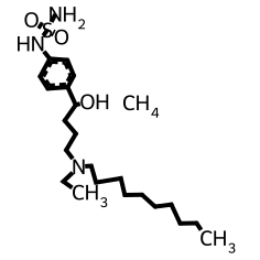 C.CCCCCCCCCCN(CC)CCCC(O)c1ccc(NS(N)(=O)=O)cc1